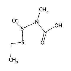 CCS[S+]([O-])N(C)C(=O)O